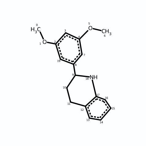 COc1cc(OC)cc(C2CCc3ccccc3N2)c1